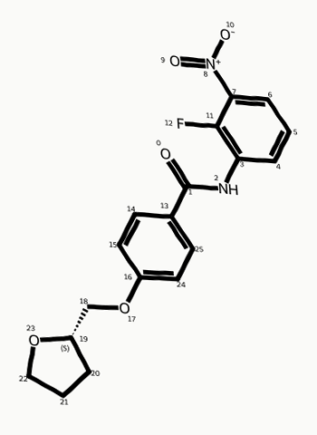 O=C(Nc1cccc([N+](=O)[O-])c1F)c1ccc(OC[C@@H]2CCCO2)cc1